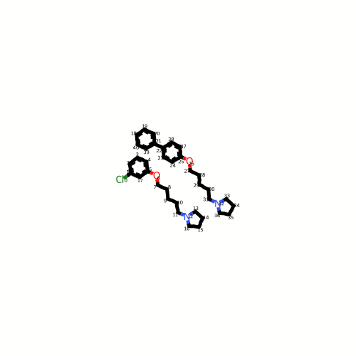 Clc1cccc(OCCCCCN2CCCC2)c1.c1ccc(-c2ccc(OCCCCCN3CCCC3)cc2)cc1